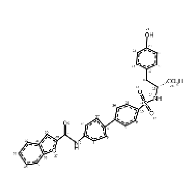 O=C(Nc1ccc(-c2ccc(S(=O)(=O)N[C@H](Cc3ccc(O)cc3)C(=O)O)cc2)cc1)c1cc2ccccc2o1